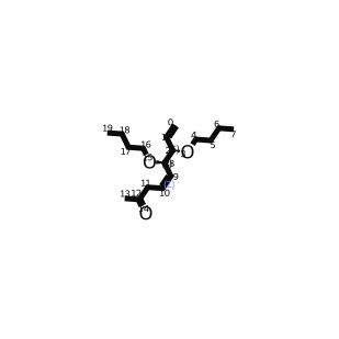 C=C[C@H](OCCCC)[C@@H](/C=C\CC(C)=O)OCCCC